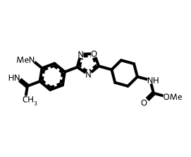 CNc1cc(-c2noc(C3CCC(NC(=O)OC)CC3)n2)ccc1C(C)=N